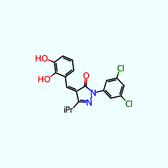 CC(C)C1=NN(c2cc(Cl)cc(Cl)c2)C(=O)C1=Cc1cccc(O)c1O